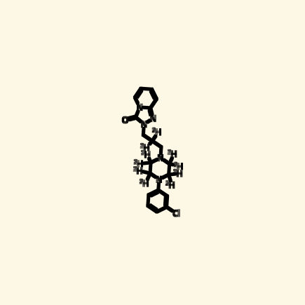 [2H]C([2H])(CN1C([2H])([2H])C([2H])([2H])N(c2cccc(Cl)c2)C([2H])([2H])C1([2H])[2H])Cn1nc2ccccn2c1=O